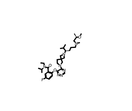 CCN(C(=O)c1cc(F)ccc1Oc1nncnc1N1CCC2(C1)CN([C@H](CCCN(C)C[C@@H](C)OC)C(C)C)C2)C(C)C